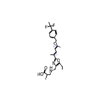 CCc1oc(/C(C)=C/C=C(\C)OCc2ccc(C(C)(F)F)cc2)nc1CNCC(C)C(=O)O